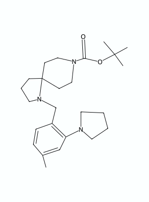 Cc1ccc(CN2CCCC23CCN(C(=O)OC(C)(C)C)CC3)c(N2CCCC2)c1